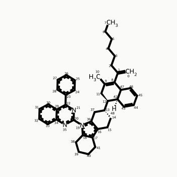 C=C(CCCCCC)C1=C(C)C[C@H]([C@@H]2CCc3c4c(n(-c5nc(-c6ccccc6)c6ccccc6n5)c3C2)CCCC4)[C@@H]2C=CC=CC12